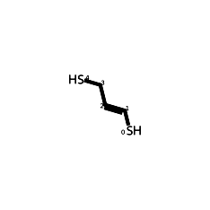 SC=CCS